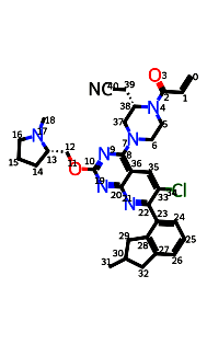 C=CC(=O)N1CCN(c2nc(OC[C@@H]3CCCN3C)nc3nc(-c4cccc5c4CC(C)C5)c(Cl)cc23)C[C@@H]1CC#N